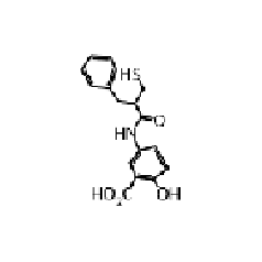 O=C(O)c1cc(NC(=O)C(CS)Cc2ccccc2)ccc1O